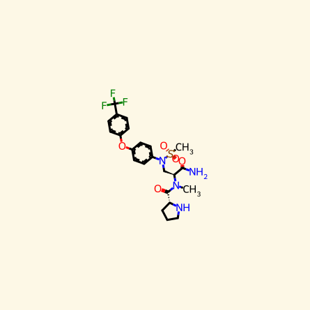 CN(C(=O)[C@H]1CCCN1)[C@@H](CN(c1ccc(Oc2ccc(C(F)(F)F)cc2)cc1)S(C)(=O)=O)C(N)=O